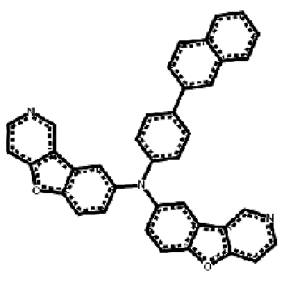 c1ccc2cc(-c3ccc(N(c4ccc5oc6ccncc6c5c4)c4ccc5oc6ccncc6c5c4)cc3)ccc2c1